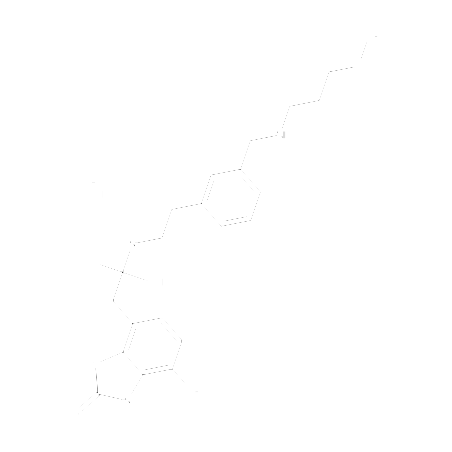 CC(C)OCCCNCc1cccc(CCNC(O)(O)Cc2ccc(O)c3[nH]c(=O)sc23)c1.Cl.Cl